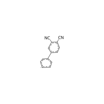 N#Cc1ccc(-c2cc[c]cc2)cc1C#N